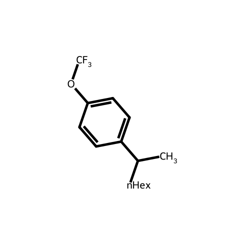 CCCCCCC(C)c1ccc(OC(F)(F)F)cc1